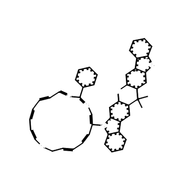 CC1(C)c2cc3[nH]c4ccccc4c3cc2Oc2cc3c(cc21)c1ccccc1n3C1=C/N=C(c2ccccc2)\N=C\C=C\C=C/C=C\NC/C=C/C=C\1